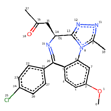 COc1ccc2c(c1)-n1c(C)nnc1[C@H](CC(C)=O)N=C2c1ccc(Cl)cc1